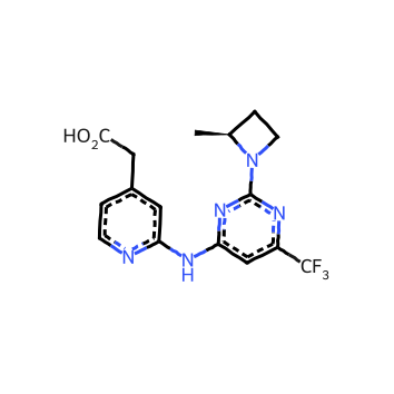 C[C@H]1CCN1c1nc(Nc2cc(CC(=O)O)ccn2)cc(C(F)(F)F)n1